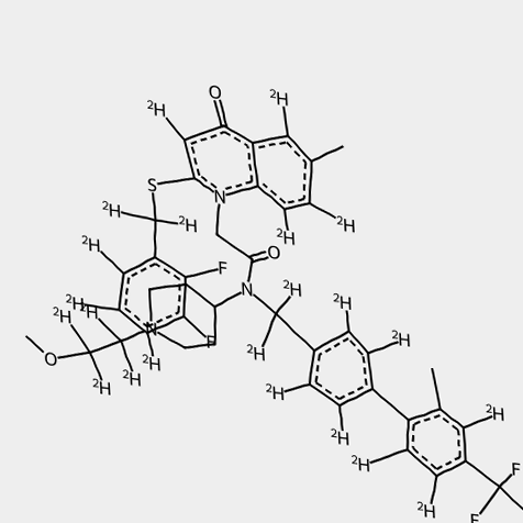 [2H]c1c([2H])c(F)c(F)c(C([2H])([2H])Sc2c([2H])c(=O)c3c([2H])c(C)c([2H])c([2H])c3n2CC(=O)N(C2CCN(C([2H])([2H])C([2H])([2H])OC)CC2)C([2H])([2H])c2c([2H])c([2H])c(-c3c([2H])c([2H])c(C(F)(F)F)c([2H])c3C)c([2H])c2[2H])c1[2H]